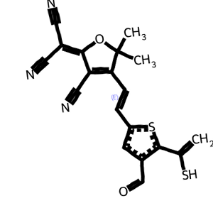 C=C(S)c1sc(/C=C/C2=C(C#N)C(=C(C#N)C#N)OC2(C)C)cc1C=O